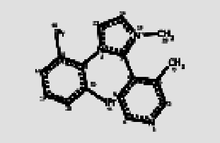 Cc1cnccc1-c1n(-c2c(C(C)C)cccc2C(C)C)cc[n+]1C